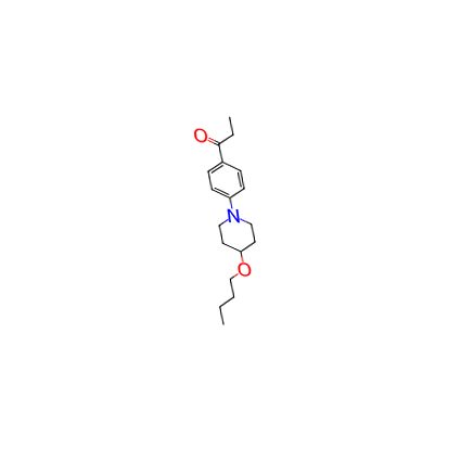 CCCCOC1CCN(c2ccc(C(=O)CC)cc2)CC1